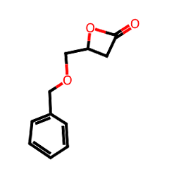 O=C1CC(COCc2ccccc2)O1